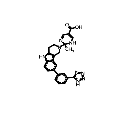 CC1(N2CCc3[nH]c4ccc(-c5cccc(-c6nnn[nH]6)c5)cc4c3C2)N=CC(C(=O)O)=CN1